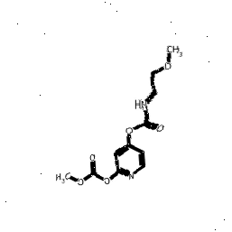 COCCNC(=O)Oc1ccnc(OC(=O)OC)c1